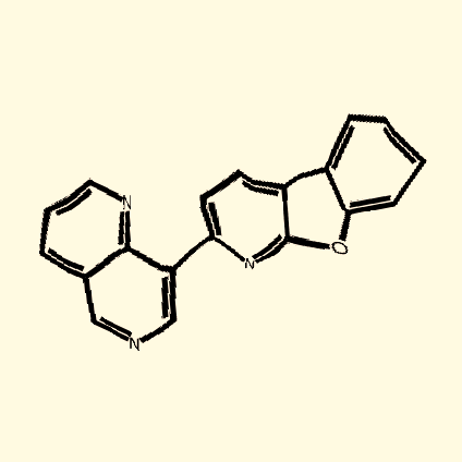 c1cnc2c(-c3ccc4c(n3)oc3ccccc34)cncc2c1